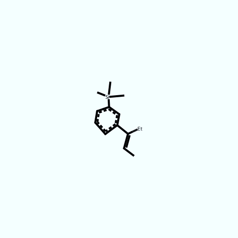 C/C=C(\CC)c1cccc([Si](C)(C)C)c1